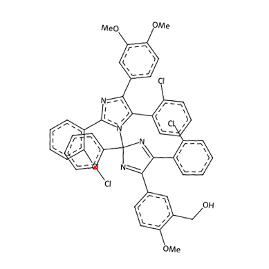 COc1ccc(C2=NC(c3ccccc3Cl)(n3c(-c4ccccc4Cl)nc(-c4ccc(OC)c(OC)c4)c3-c3ccccc3Cl)N=C2c2ccccc2Cl)cc1CO